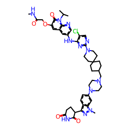 CNC(=O)COc1cc2cc(Nc3nc(N4CCC5(CCC(CN6CCN(c7ccc8c(C9CCC(=O)NC9=O)nn(C)c8c7)CC6)CC5)CC4)ncc3Cl)cnc2n(C(C)C)c1=O